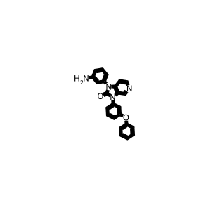 Nc1cccc(-n2c(=O)n(-c3cccc(Oc4ccccc4)c3)c3cnccc32)c1